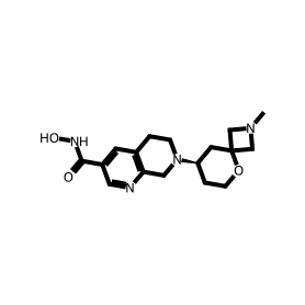 CN1CC2(C[C@H](N3CCc4cc(C(=O)NO)cnc4C3)CCO2)C1